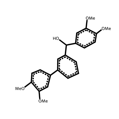 COc1ccc(-c2cccc(C(O)c3ccc(OC)c(OC)c3)c2)cc1OC